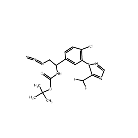 CC(C)(C)OC(=O)NC(CN=[N+]=[N-])c1ccc(Cl)c(-n2ncnc2C(F)F)c1